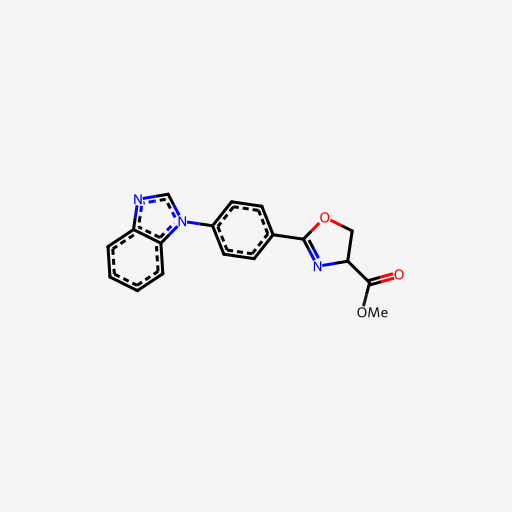 COC(=O)C1COC(c2ccc(-n3cnc4ccccc43)cc2)=N1